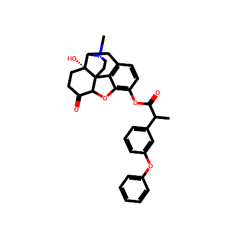 CC(C(=O)Oc1ccc2c3c1OC1C(=O)CC[C@@]4(O)C(C2)N(C)CCC314)c1cccc(Oc2ccccc2)c1